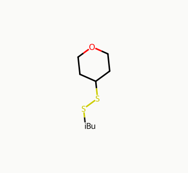 CCC(C)SSC1CCOCC1